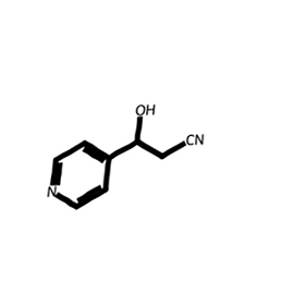 N#CCC(O)c1ccncc1